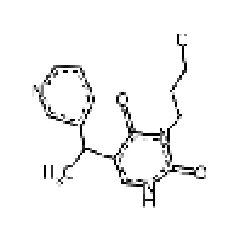 CC(c1cccnc1)c1c[nH]c(=O)n(CCCCl)c1=O